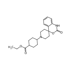 CCOC(=O)C1CCC(N2CCC3(CC2)OC(=O)Nc2ccccc23)CC1